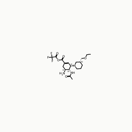 CCOC[C@@H]1CCCN([C@@H]2C=C(C(=O)OC(=O)C(F)(F)F)C[C@H](N)[C@H]2NC(C)=O)C1